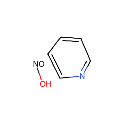 O=NO.c1ccncc1